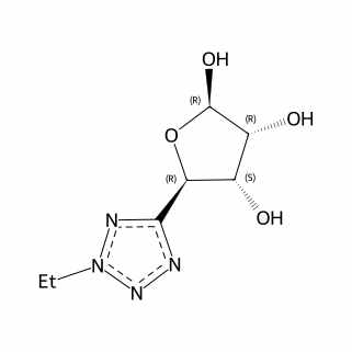 CCn1nnc([C@H]2O[C@@H](O)[C@H](O)[C@@H]2O)n1